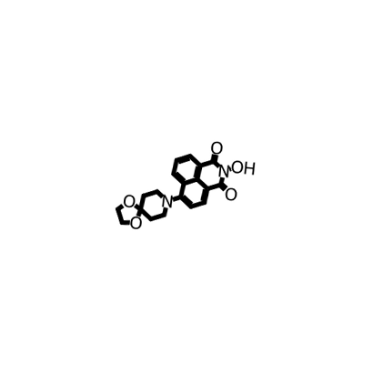 O=C1c2cccc3c(N4CCC5(CC4)OCCO5)ccc(c23)C(=O)N1O